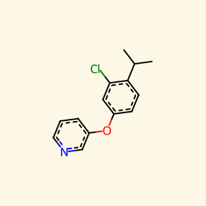 CC(C)c1ccc(Oc2cccnc2)cc1Cl